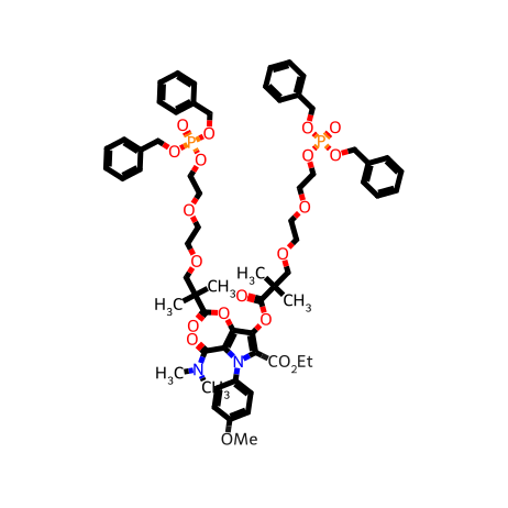 CCOC(=O)c1c(OC(=O)C(C)(C)COCCOCCOP(=O)(OCc2ccccc2)OCc2ccccc2)c(OC(=O)C(C)(C)COCCOCCOP(=O)(OCc2ccccc2)OCc2ccccc2)c(C(=O)N(C)C)n1-c1ccc(OC)cc1